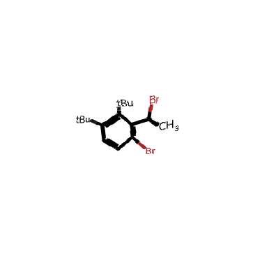 CC(Br)c1c(Br)ccc(C(C)(C)C)c1C(C)(C)C